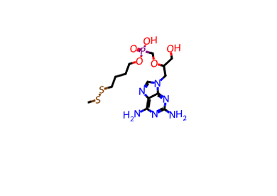 CSSCCCCOP(=O)(O)COC(CO)Cn1cnc2c(N)nc(N)nc21